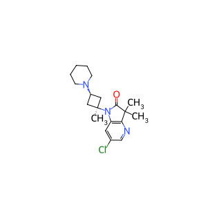 CC1(C)C(=O)N([C@]2(C)C[C@H](N3CCCCC3)C2)c2cc(Cl)cnc21